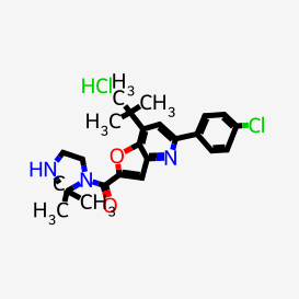 CC(C)(C)c1cc(-c2ccc(Cl)cc2)nc2cc(C(=O)N3CCNCC3(C)C)oc12.Cl